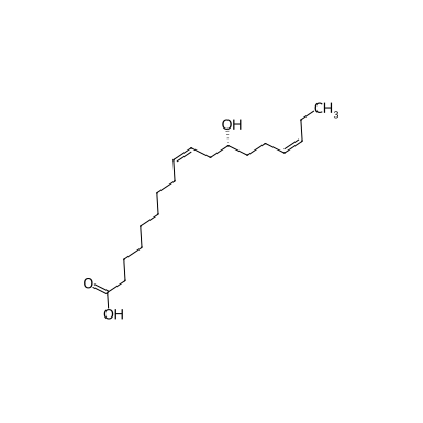 CC/C=C\CC[C@@H](O)C/C=C\CCCCCCCC(=O)O